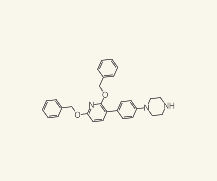 c1ccc(COc2ccc(-c3ccc(N4CCNCC4)cc3)c(OCc3ccccc3)n2)cc1